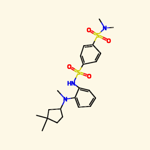 CN(c1ccccc1NS(=O)(=O)c1ccc(S(=O)(=O)N(C)C)cc1)C1CCC(C)(C)C1